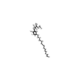 CCCCCCCCCCCCCCCc1cccc(OC(C)(C)C(=O)OCC)c1